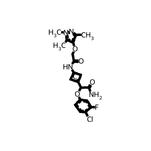 Cc1nn(C)c(C)c1OCC(=O)NC12CC(C(Oc3ccc(Cl)c(F)c3)C(N)=O)(C1)C2